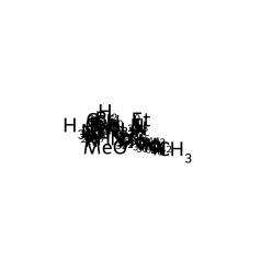 CCn1cc(-c2cc(Nc3ncc(Br)c(Nc4ccc5nccnc5c4P(C)(C)=O)n3)c(OC)cc2N2CCC(N3CCN(C)CC3)CC2)cn1